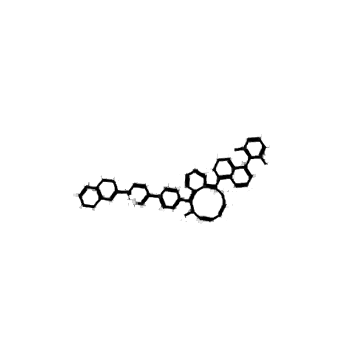 Cc1cccc(C)c1-c1cccc2c1=CCCC=2/C1=c2\cccc\c2=C(/c2ccc(-c3ccc(C4=CC5=C(C=CCC5)CC4)nc3)cc2)C(C)/C=C\C=C/C1